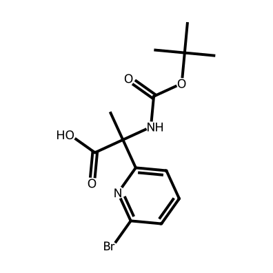 CC(C)(C)OC(=O)NC(C)(C(=O)O)c1cccc(Br)n1